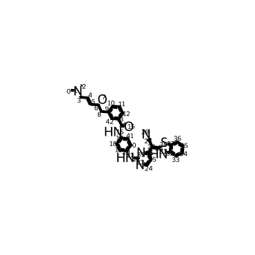 CN(C)C/C=C/C(=O)Cc1cccc(C(=O)Nc2ccc(Nc3nccc(/C(C#N)=C4\Nc5ccccc5S4)n3)cc2)c1